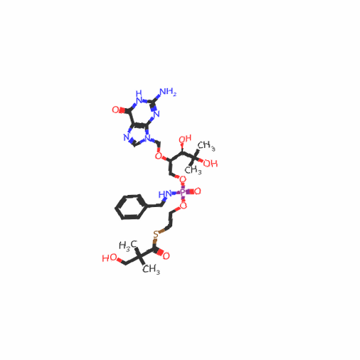 CC(C)(CO)C(=O)SCCOP(=O)(NCc1ccccc1)OCC(OCn1cnc2c(=O)[nH]c(N)nc21)[C@@H](O)C(C)(C)O